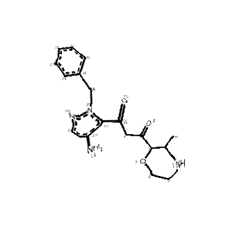 CC1NCCOC1C(=O)CC(=O)c1c(N)cnn1Cc1ccccc1